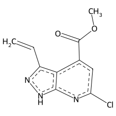 C=Cc1n[nH]c2nc(Cl)cc(C(=O)OC)c12